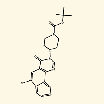 CC(C)(C)OC(=O)N1CCC(n2cnc3c(cc(Br)c4ccccc43)c2=O)CC1